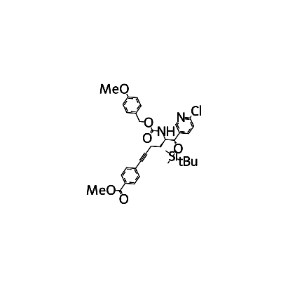 COC(=O)c1ccc(C#CCC[C@@H](NC(=O)OCc2ccc(OC)cc2)[C@H](O[Si](C)(C)C(C)(C)C)c2ccc(Cl)nc2)cc1